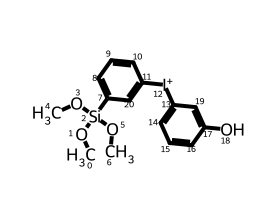 CO[Si](OC)(OC)c1cccc([I+]c2cccc(O)c2)c1